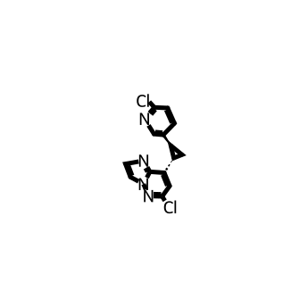 Clc1ccc([C@H]2C[C@@H]2c2cc(Cl)nn3ccnc23)cn1